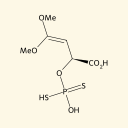 COC(=C[C@H](OP(O)(=S)S)C(=O)O)OC